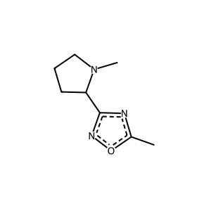 Cc1nc(C2CCCN2C)no1